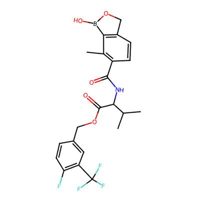 Cc1c(C(=O)NC(C(=O)OCc2ccc(F)c(C(F)(F)F)c2)C(C)C)ccc2c1B(O)OC2